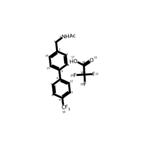 CC(=O)NCc1ccc(-c2ccc(C(F)(F)F)cc2)cc1.O=C(O)C(F)(F)F